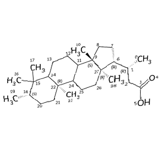 C[C@H](CC(=O)O)[C@H]1CC[C@@]2(C)C3CCC4C(C)(C)[C@@H](C)CC[C@]4(C)C3CC[C@]12C